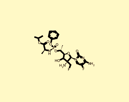 CC(C)OC(=O)[C@H](C)N[P@](=O)(Oc1ccccc1)O[C@H](C)[C@H]1O[C@@H](n2cc(F)c(N)nc2=O)[C@@](N)(CF)C1O